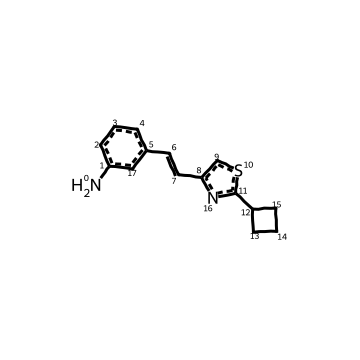 Nc1cccc(C=Cc2csc(C3CCC3)n2)c1